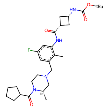 Cc1c(CN2CCN(C(=O)C3CCCC3)[C@@H](C)C2)cc(F)cc1NC(=O)[C@H]1C[C@@H](NC(=O)OC(C)(C)C)C1